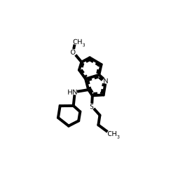 CCCSc1cnc2ccc(OC)cc2c1NC1CCCCC1